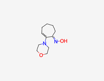 O/N=C1\CCCCC=C1N1CCOCC1